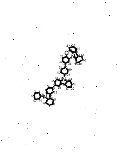 c1ccc(-n2c3ccccc3c3cc(-c4ccc5c(c4)c4ccccc4n5-c4ccc(-c5ccc6c(c5)-n5c7ccccc7c7cccc(c75)O6)cc4)ccc32)cc1